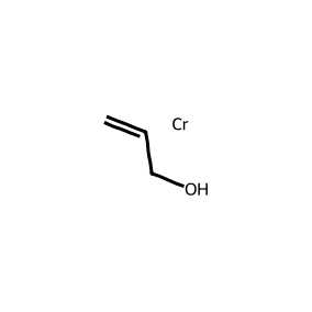 C=CCO.[Cr]